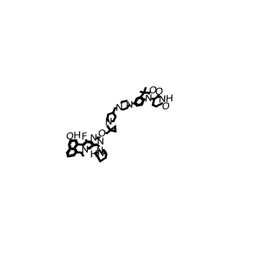 CCc1cccc2cc(O)cc(-c3ncc4c(N5CC6CCC(C5)N6)nc(OCC5(CN6CCC(CN7CCN(c8ccc9c(c8)C(C)(C)C(=O)N9C8CCC(=O)NC8=O)CC7)CC6)CC5)nc4c3F)c12